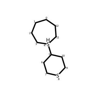 C1CCC[SH](C2CCSCC2)CC1